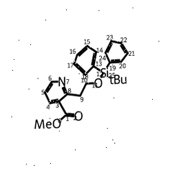 COC(=O)c1cccnc1CCO[Si](c1ccccc1)(c1ccccc1)C(C)(C)C